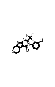 O=c1c2c3c(sc2nc(C(F)(F)F)n1-c1cccc(Cl)c1)CSCC3